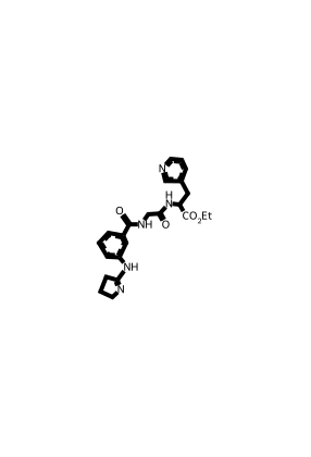 CCOC(=O)C(Cc1cccnc1)NC(=O)CNC(=O)c1cccc(NC2=NCCC2)c1